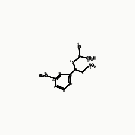 CCC(SC(C[N+](=O)[O-])c1cccc(OC)c1)C(=O)O